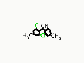 Cc1ccc(C(C#N)c2c(Cl)cc(C)cc2Cl)cc1